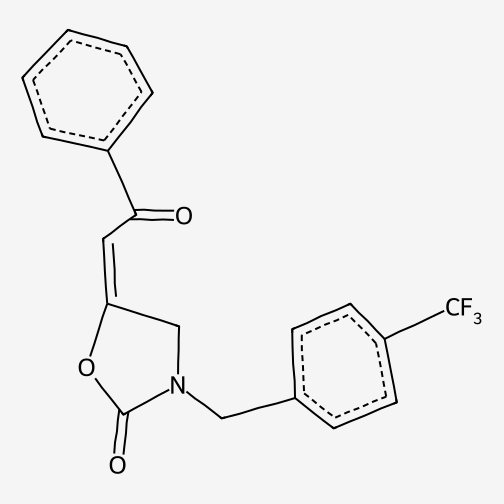 O=C(/C=C1\CN(Cc2ccc(C(F)(F)F)cc2)C(=O)O1)c1ccccc1